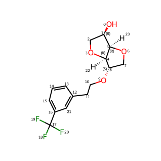 O[C@@H]1CO[C@H]2[C@@H]1OC[C@@H]2OCCc1cccc(C(F)(F)F)c1